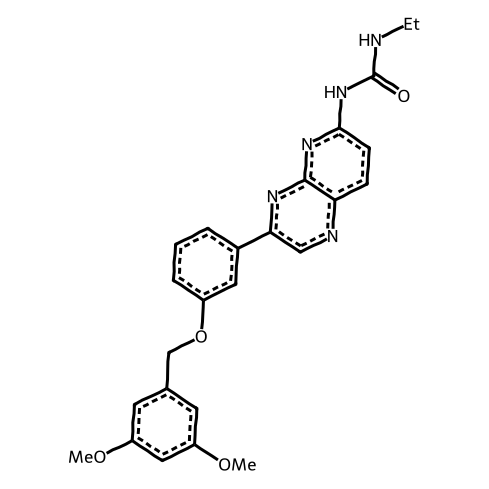 CCNC(=O)Nc1ccc2ncc(-c3cccc(OCc4cc(OC)cc(OC)c4)c3)nc2n1